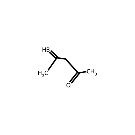 B=C(C)CC(C)=O